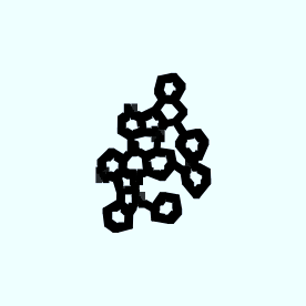 c1ccc(C2Cc3ccccc3-c3c2n2c4c(ccnc34)B3c4c-2cc(-c2ccccn2)cc4-n2c4c3ccnc4c3c4ccccc4n(-c4ccccc4)c32)cc1